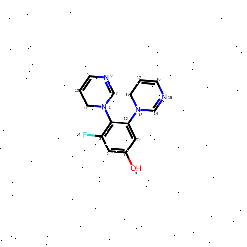 Oc1cc(F)c(N2C=NC=CC2)c(N2C=NC=CC2)c1